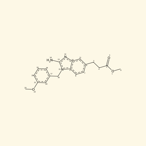 COC(=O)CCc1ccc2c(c1)nc(N)n2Cc1cccc(OC)c1